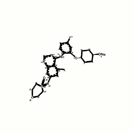 CO[C@H]1CC[C@H](Oc2cc(F)ccc2Nc2ncnc3cc(N=S4(=O)CCOCC4)cc(C)c23)CC1